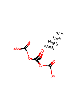 O=C(O)OC(=O)OC(=O)O.[MgH2].[MgH2].[SrH2].[SrH2]